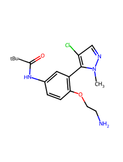 Cn1ncc(Cl)c1-c1cc(NC(=O)C(C)(C)C)ccc1OCCN